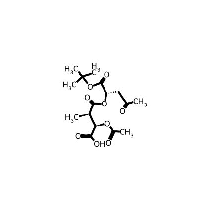 CC(=O)C[C@H](OC(=O)[C@H](C)[C@@H](OC(C)=O)C(=O)O)C(=O)OC(C)(C)C